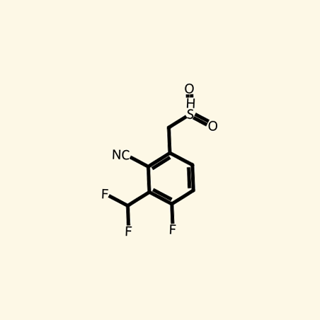 N#Cc1c(C[SH](=O)=O)ccc(F)c1C(F)F